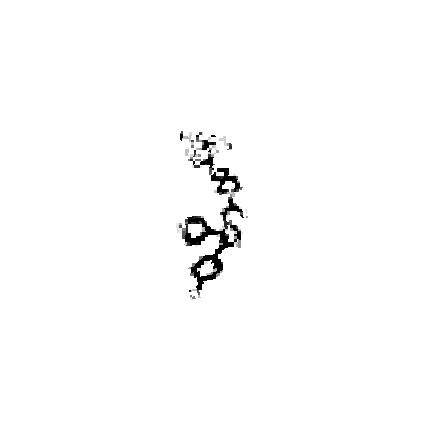 CC(C)(C)OC(=O)N1CC2(CCN(C(=O)Cn3cnc(-c4ccc(Cl)cc4)c3-c3ccncc3)C2)C1